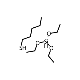 CCCCCS.CCO[SiH](OCC)OCC